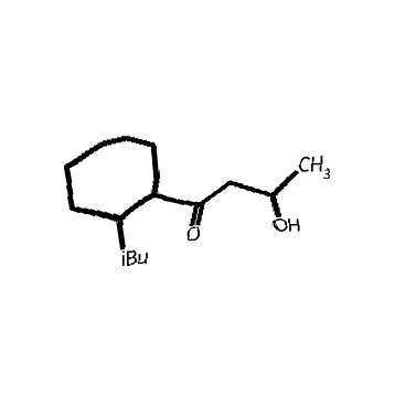 CCC(C)C1CCCCC1C(=O)CC(C)O